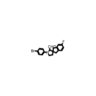 O=CC1N(c2ccc(Br)cc2)CCC12Cc1ccc(F)cc1C2